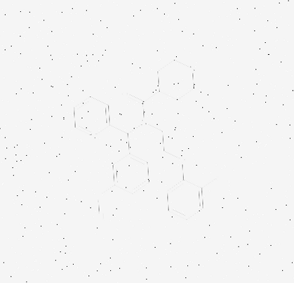 O=C(C1CCNCC1)N(CCOc1ccccc1F)C(c1cccc(OC(F)(F)F)c1)c1ccccn1